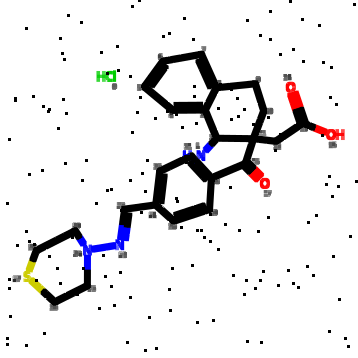 Cl.NC1c2ccccc2CCC1(CC(=O)O)C(=O)c1ccc(C=NN2CCSCC2)cc1